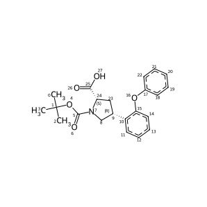 CC(C)(C)OC(=O)N1C[C@@H](c2ccccc2Oc2ccccc2)C[C@H]1C(=O)O